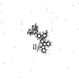 CC1(C)c2ccccc2-c2c1c1c(c3ccccc23)OC(c2ccc(F)cc2)(c2ccc(-c3nc(C(F)(F)F)nc(C(F)(F)F)n3)cc2)C=C1